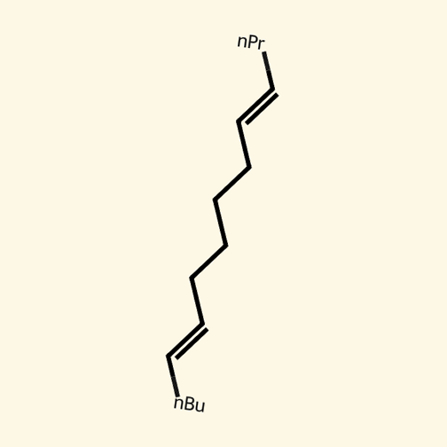 [CH2]CCCC=CCCCCC=CCCC